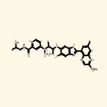 COc1cnc2c(-c3nc4cc(F)c(OC(C)C(C)N(C(=O)O)c5ccnc(C(=O)NCC(C)O)c5)cc4s3)cc(C)cc2n1